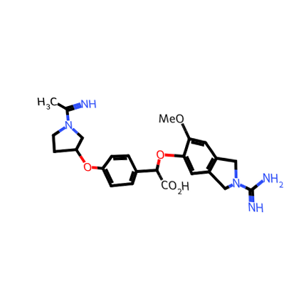 COc1cc2c(cc1OC(C(=O)O)c1ccc(OC3CCN(C(C)=N)C3)cc1)CN(C(=N)N)C2